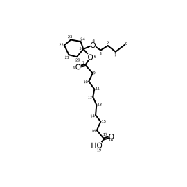 CCCCOC1(OC(=O)CCCCCCCCC(=O)O)CCCCC1